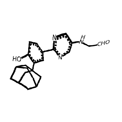 O=CCNc1cnc(-c2ccc(O)c(C34CC5CC(CC(C5)C3)C4)c2)nc1